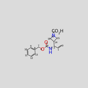 C=C[C@H](NC(=O)OCc1ccccc1)C1CN(C(=O)O)C1